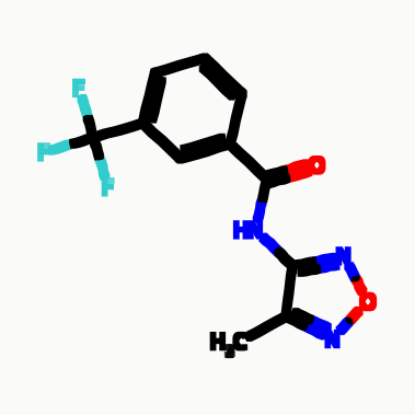 Cc1nonc1NC(=O)c1cccc(C(F)(F)F)c1